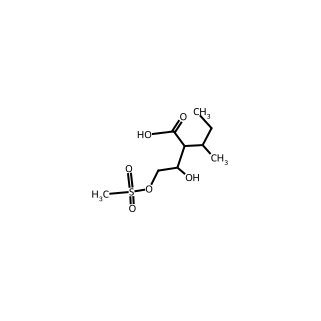 CCC(C)C(C(=O)O)C(O)COS(C)(=O)=O